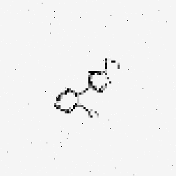 Cn1cc(-c2ccccc2C#N)cn1